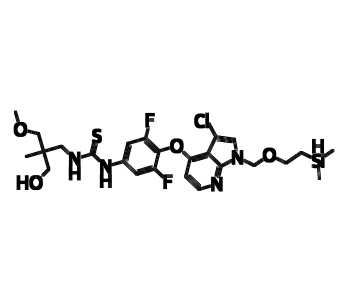 COCC(C)(CO)CNC(=S)Nc1cc(F)c(Oc2ccnc3c2c(Cl)cn3COCC[SiH](C)C)c(F)c1